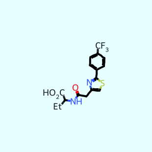 CCC(NC(=O)Cc1csc(-c2ccc(C(F)(F)F)cc2)n1)C(=O)O